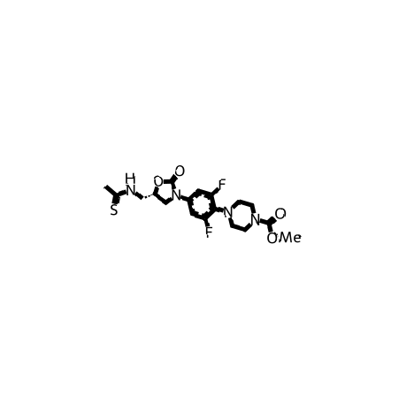 COC(=O)N1CCN(c2c(F)cc(N3C[C@H](CNC(C)=S)OC3=O)cc2F)CC1